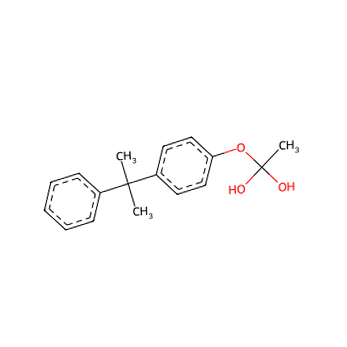 CC(O)(O)Oc1ccc(C(C)(C)c2ccccc2)cc1